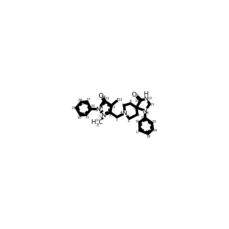 Cn1c(CN2CCC3(CC2)C(=O)NCN3c2ccccc2)c(I)c(=O)n1-c1ccccc1